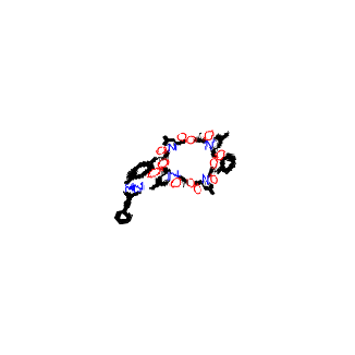 CC(C)C[C@H]1C(=O)O[C@H](Cc2ccc(Cn3cc(C#Cc4ccccc4)cn3)cc2)C(=O)N(C)[C@@H](CC(C)C)C(=O)O[C@H](C)C(=O)N(C)[C@@H](CC(C)C)C(=O)O[C@H](Cc2ccccc2)C(=O)N(C)[C@@H](CC(C)C)C(=O)O[C@H](C)C(=O)N1C